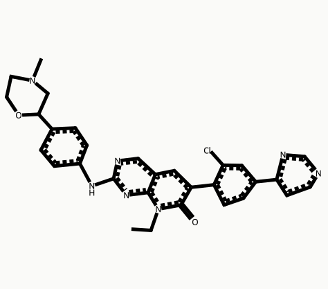 CCn1c(=O)c(-c2ccc(-c3ccncn3)cc2Cl)cc2cnc(Nc3ccc(C4CN(C)CCO4)cc3)nc21